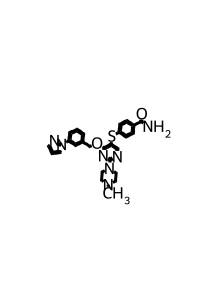 CN1CCN(c2ncc(Sc3ccc(C(N)=O)cc3)c(OCc3cccc(-n4cccn4)c3)n2)CC1